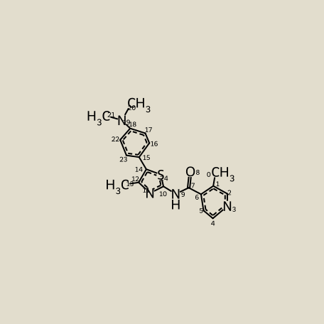 Cc1cnccc1C(=O)Nc1nc(C)c(-c2ccc(N(C)C)cc2)s1